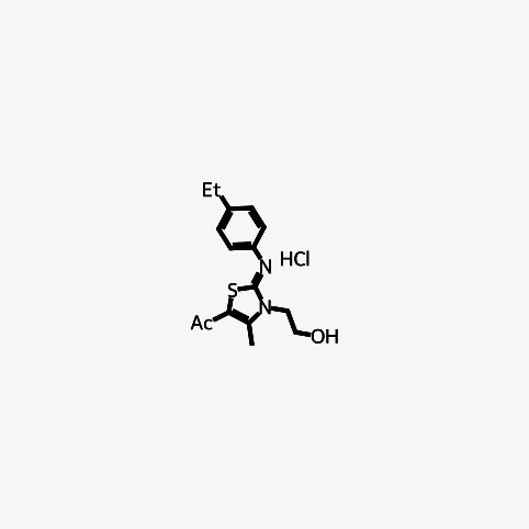 CCc1ccc(/N=c2\sc(C(C)=O)c(C)n2CCO)cc1.Cl